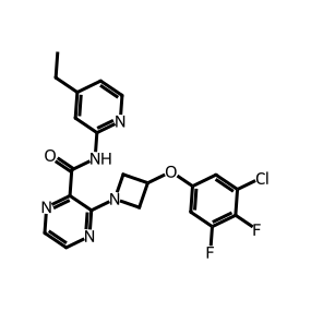 CCc1ccnc(NC(=O)c2nccnc2N2CC(Oc3cc(F)c(F)c(Cl)c3)C2)c1